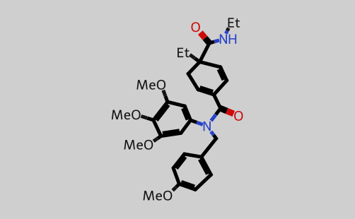 CCNC(=O)C1(CC)C=CC(C(=O)N(Cc2ccc(OC)cc2)c2cc(OC)c(OC)c(OC)c2)=CC1